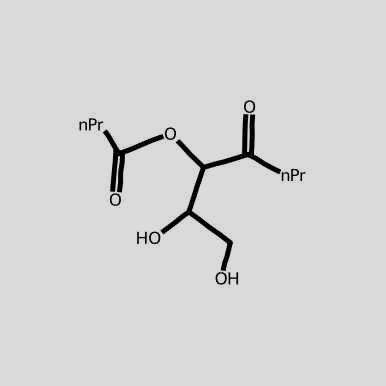 CCCC(=O)OC(C(=O)CCC)C(O)CO